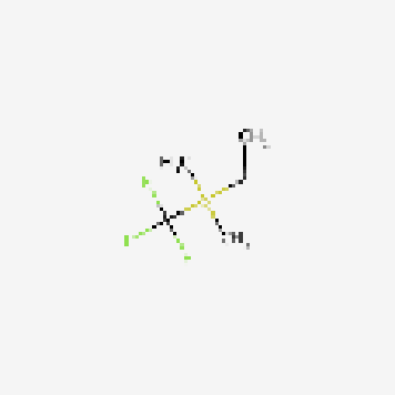 CCS(C)(C)C(F)(F)F